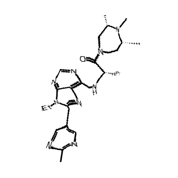 CCC[C@H](Nc1ncnc2c1nc(-c1cnc(C)nc1)n2CC)C(=O)N1C[C@@H](C)N(C)[C@@H](C)C1